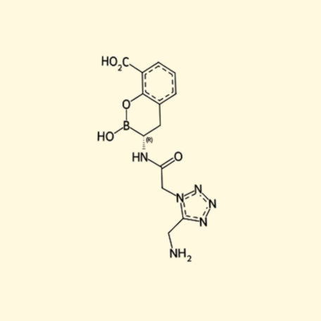 NCc1nnnn1CC(=O)N[C@H]1Cc2cccc(C(=O)O)c2OB1O